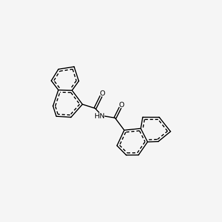 O=C(NC(=O)c1cccc2ccccc12)c1cccc2ccccc12